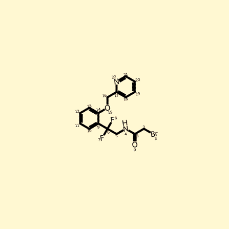 O=C(CBr)NCC(F)(F)c1ccccc1OCc1ccccn1